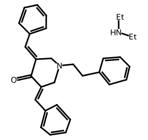 CCNCC.O=C1C(=Cc2ccccc2)CN(CCc2ccccc2)CC1=Cc1ccccc1